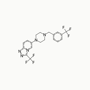 FC(F)(F)c1cccc(CN2CCN(c3ccc4nnc(C(F)(F)F)n4c3)CC2)c1